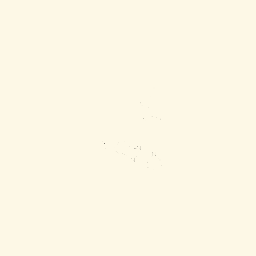 CN(C)C(=O)c1ccc2c(c1)nc(-c1ccccn1)n2C1CCCC(NC(=O)c2ccc(Br)s2)C1